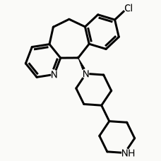 Clc1ccc2c(c1)CCc1cccnc1[C@@H]2N1CCC(C2CCNCC2)CC1